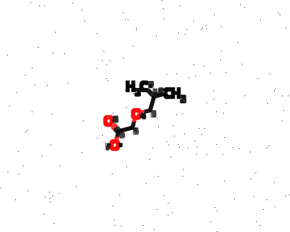 CC(C)COCC([O])=O